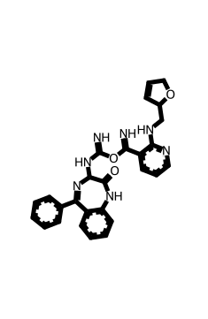 N=C(NC1N=C(c2ccccc2)c2ccccc2NC1=O)OC(=N)c1cccnc1NCC1C=CCO1